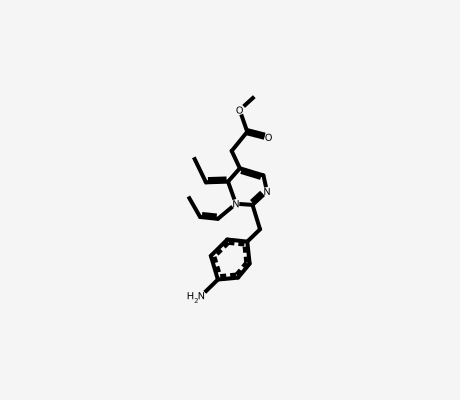 CC=C1C(CC(=O)OC)=CN=C(Cc2ccc(N)cc2)N1/C=C\C